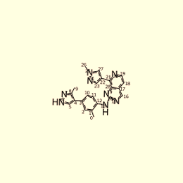 Cc1cc(-c2c[nH]nc2C)ccc1Nc1ncc2ccnc(-c3cnn(C)c3)c2n1